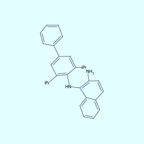 CC(C)c1cc(-c2ccccc2)cc(C(C)C)c1Nc1c(N)ccc2ccccc12